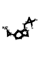 C[C@H]1C[C@@H]1c1ccc2cnn(CC3CC3(F)F)c2c1